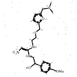 COc1ccc(C(O)CN/C(=C\[N+](=O)[O-])NCCSCc2ccc(CN(C)C)o2)cc1